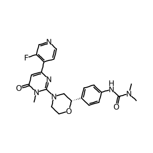 CN(C)C(=O)Nc1ccc([C@H]2CN(c3nc(-c4ccncc4F)cc(=O)n3C)CCO2)cc1